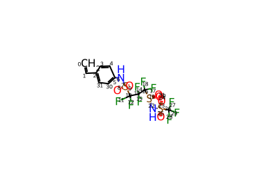 C=Cc1ccc(NS(=O)(=O)C(F)(F)C(F)(F)C(F)(F)S(=O)(=O)NS(=O)(=O)C(F)(F)F)cc1